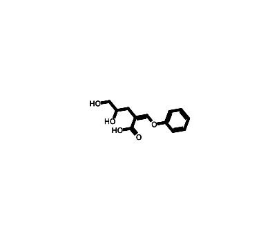 O=C(O)C(=COc1ccccc1)CC(O)CO